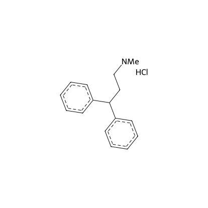 CNCCC(c1ccccc1)c1ccccc1.Cl